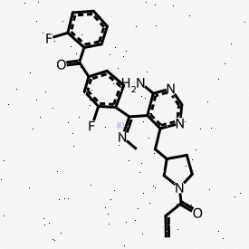 C=CC(=O)N1CCC(Cc2ncnc(N)c2/C(=N\C)c2ccc(C(=O)c3ccccc3F)cc2F)C1